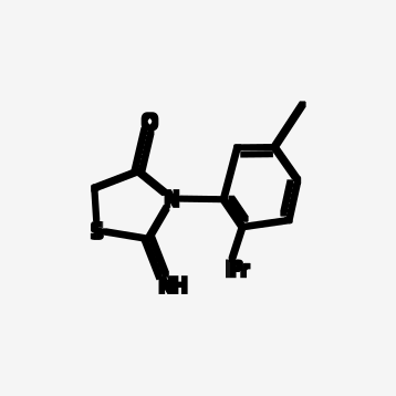 Cc1ccc(C(C)C)c(N2C(=N)SCC2=O)c1